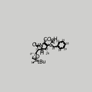 C[C@@H](O[Si](C)(C)C(C)(C)C)[C@H]1C(=O)N2C(C(=O)O)=C([S+]([O-])Cc3ccccc3)[C@H](C)[C@H]12